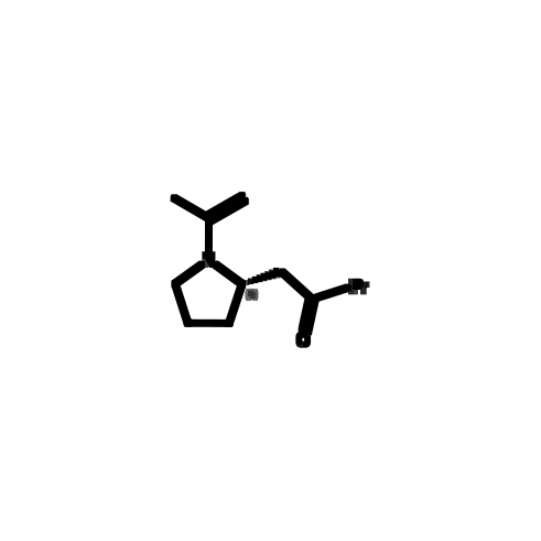 C=C(C)N1CCC[C@H]1CC(=O)C(C)C